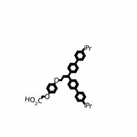 CC(C)c1ccc(-c2ccc(C(=CCOc3ccc(OCC(=O)O)cc3)c3ccc(-c4ccc(C(C)C)cc4)cc3)cc2)cc1